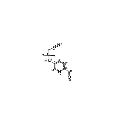 CC(C)(CC#N)Nc1cnc(C=O)nc1